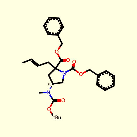 CC=CCC1(C(=O)OCc2ccccc2)C[C@@H](N(C)C(=O)OC(C)(C)C)CN1C(=O)OCc1ccccc1